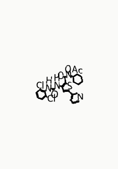 CC(=O)ON(C(=O)c1sc(-c2cccnc2)cc1NC(=O)Nc1c(Cl)cccc1Cl)C1CCCCC1